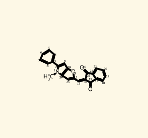 Cn1c(-c2ccccc2)cc2oc(C=C3C(=O)c4ccccc4C3=O)cc21